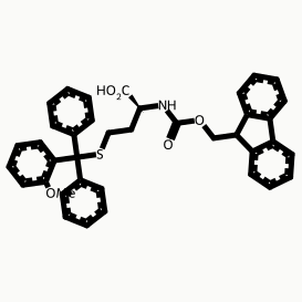 COc1ccccc1C(SCC[C@H](NC(=O)OCC1c2ccccc2-c2ccccc21)C(=O)O)(c1ccccc1)c1ccccc1